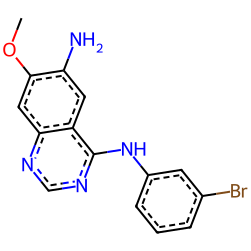 COc1cc2ncnc(Nc3cccc(Br)c3)c2cc1N